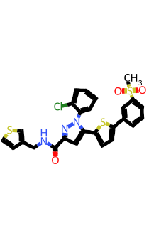 CS(=O)(=O)c1cccc(-c2ccc(-c3cc(C(=O)NCc4ccsc4)nn3-c3ccccc3Cl)s2)c1